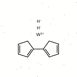 C1=CCC(C2=CC=CC2)=C1.[H-].[H-].[W+2]